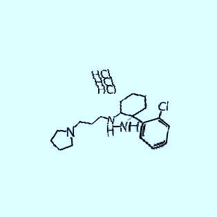 CN[C@@]1(c2ccccc2Cl)CCCC[C@@H]1NCCCN1CCCC1.Cl.Cl.Cl